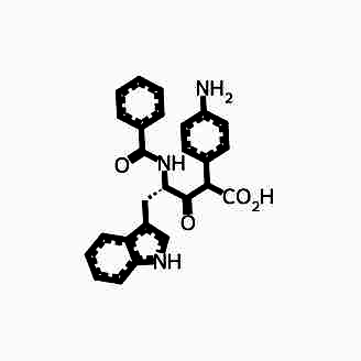 Nc1ccc(C(C(=O)O)C(=O)[C@H](Cc2c[nH]c3ccccc23)NC(=O)c2ccccc2)cc1